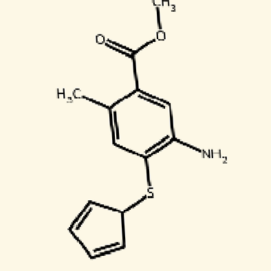 COC(=O)c1cc(N)c(SC2C=CC=C2)cc1C